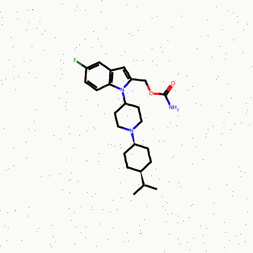 CC(C)[C@H]1CC[C@@H](N2CCC(n3c(COC(N)=O)cc4cc(F)ccc43)CC2)CC1